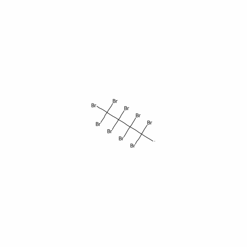 [CH2]C(Br)(Br)C(Br)(Br)C(Br)(Br)C(Br)(Br)Br